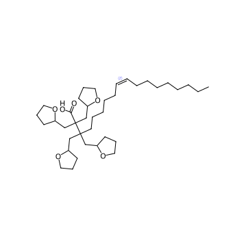 CCCCCCCC/C=C\CCCCCC(CC1CCCO1)(CC1CCCO1)C(CC1CCCO1)(CC1CCCO1)C(=O)O